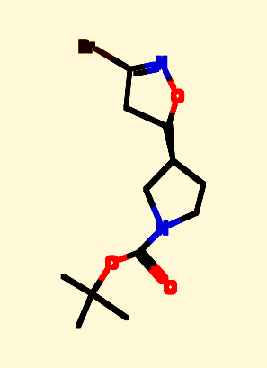 CC(C)(C)OC(=O)N1CC[C@H](C2CC(Br)=NO2)C1